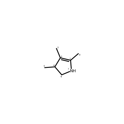 CC1=C(C)C(C)CN1